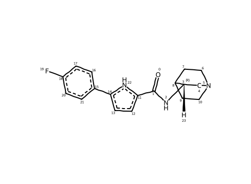 O=C(N[C@H]1CN2CCC1CC2)c1ccc(-c2ccc(F)cc2)[nH]1